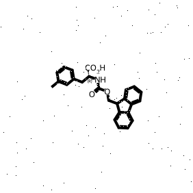 Cc1cccc(C[C@@H](NC(=O)OCC2c3ccccc3-c3ccccc32)C(=O)O)c1